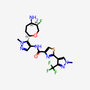 Cn1cc(-c2nc(C(=O)Nc3cnn(C)c3[C@@H]3CC[C@@H](N)[C@@H](F)CO3)cs2)c(C(F)(F)F)n1